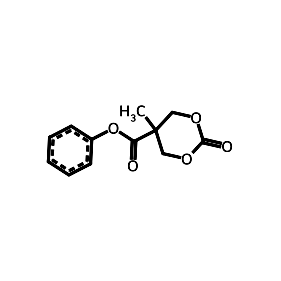 CC1(C(=O)Oc2ccccc2)COC(=O)OC1